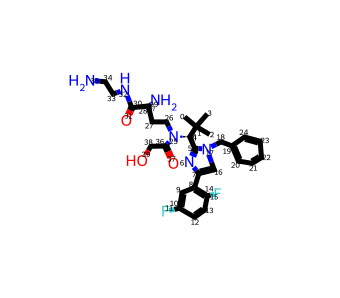 CC(C)(C)[C@H](c1nc(-c2cc(F)ccc2F)cn1Cc1ccccc1)N(CC[C@H](N)C(=O)NCCN)C(=O)CO